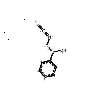 OB(ON=C=S)c1ccccc1